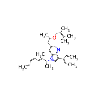 C=C/C=C\C=C(/C)C(C)n1cc(/C(C=C)=C/C)c2ncc(CC(C)OCC(C)=C(C)C)cc21